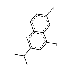 CC(C)c1cc(F)c2cc(I)ccc2n1